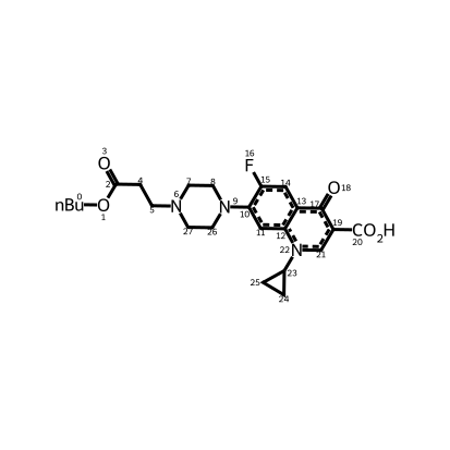 CCCCOC(=O)CCN1CCN(c2cc3c(cc2F)c(=O)c(C(=O)O)cn3C2CC2)CC1